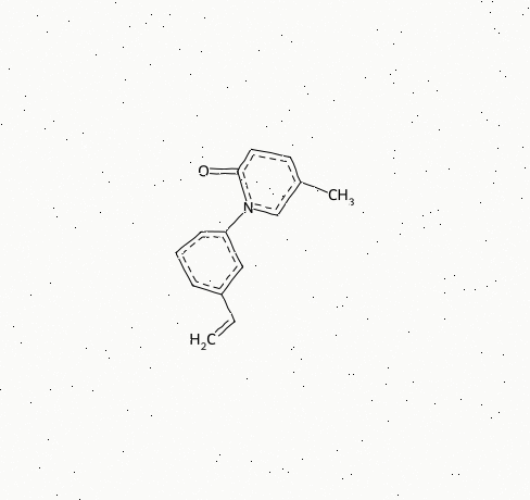 C=Cc1cccc(-n2cc(C)ccc2=O)c1